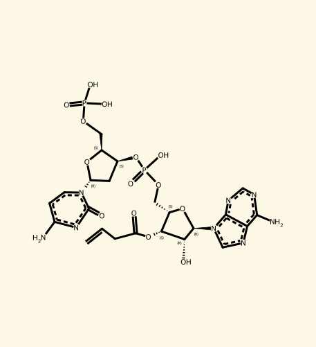 C=CCC(=O)O[C@H]1[C@@H](O)[C@H](n2cnc3c(N)ncnc32)O[C@H]1COP(=O)(O)O[C@H]1C[C@H](n2ccc(N)nc2=O)O[C@H]1COP(=O)(O)O